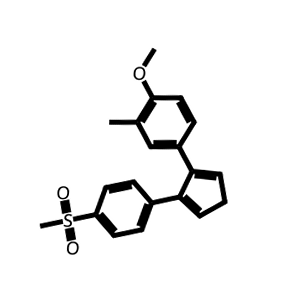 COc1ccc(C2=CCC=C2c2ccc(S(C)(=O)=O)cc2)cc1C